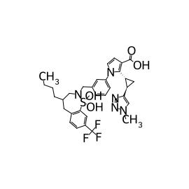 CCCCC1Cc2ccc(C(F)(F)F)cc2S(O)(O)N(Cc2cccc(-n3ccc(C(=O)O)c3[C@@H]3C[C@H]3c3cn(C)nn3)c2)C1